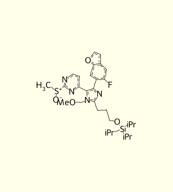 COCn1c(CCCO[Si](C(C)C)(C(C)C)C(C)C)nc(-c2cc3occc3cc2F)c1-c1ccnc([S+](C)[O-])n1